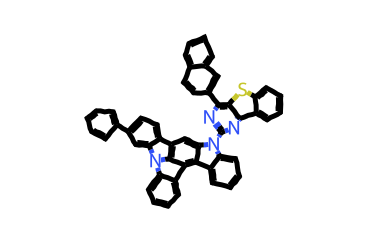 c1ccc(-c2ccc3c4cc5c(c6ccccc6n5-c5nc(-c6ccc7ccccc7c6)c6sc7ccccc7c6n5)c5c6ccccc6n(c3c2)c45)cc1